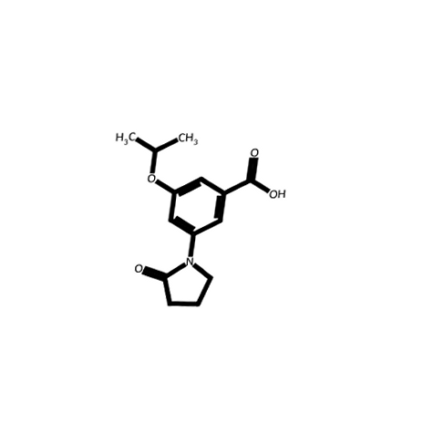 CC(C)Oc1cc(C(=O)O)cc(N2CCCC2=O)c1